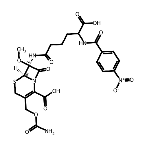 CO[C@@]1(NC(=O)CCCC(NC(=O)c2ccc([N+](=O)[O-])cc2)C(=O)O)C(=O)N2C(C(=O)O)=C(COC(N)=O)CS[C@H]21